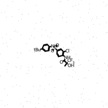 CC(C)(C)c1ccc(NS(=O)(=O)c2ccc(NC(=O)[C@@](C)(O)C(F)(F)F)c(Cl)c2)cc1